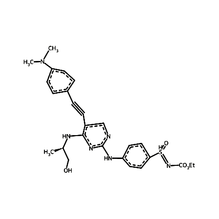 CCOC(=O)/N=[SH](=O)/c1ccc(Nc2ncc(C#Cc3ccc(N(C)C)cc3)c(N[C@H](C)CO)n2)cc1